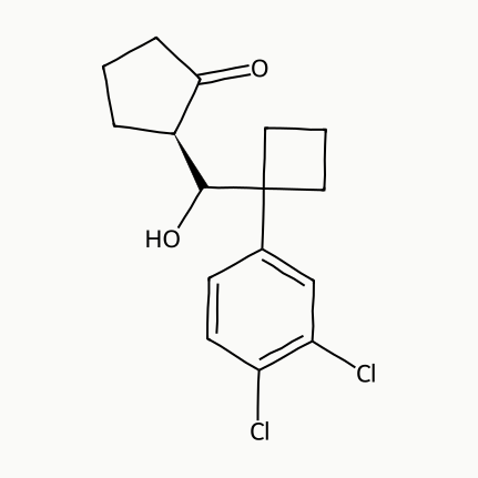 O=C1CCC[C@@H]1C(O)C1(c2ccc(Cl)c(Cl)c2)CCC1